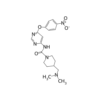 CN(C)CC1CCN(C(=O)Nc2cc(Oc3ccc([N+](=O)[O-])cc3)ncn2)CC1